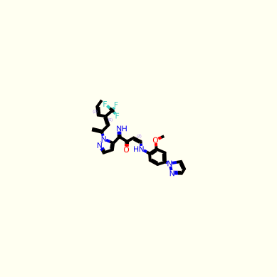 C=C(/C=C(\C=C/C)C(F)(F)F)n1nccc1C(=N)C(=O)/C=C\Nc1ccc(-n2cccn2)cc1OC